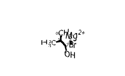 CC(C)CO.[Mg+2][Br]